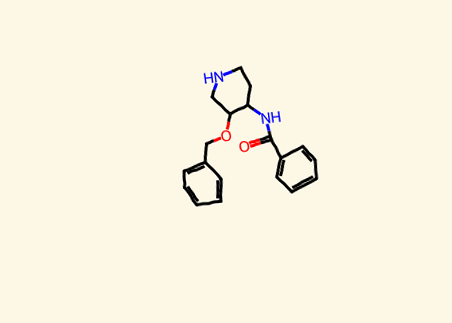 O=C(NC1CCNCC1OCc1ccccc1)c1ccccc1